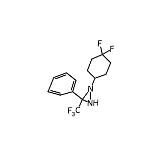 FC1(F)CCC(N2NC2(c2ccccc2)C(F)(F)F)CC1